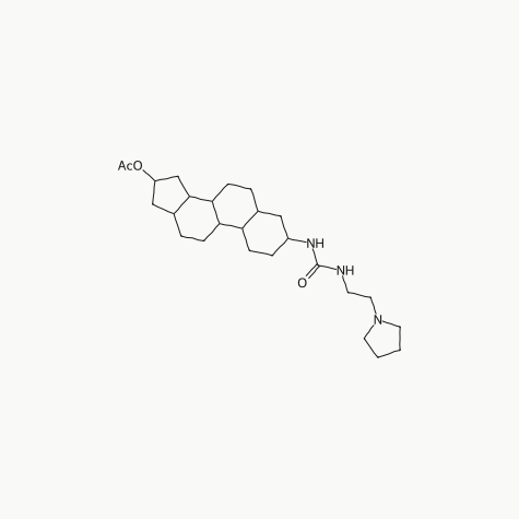 CC(=O)OC1CC2CCC3C4CCC(NC(=O)NCCN5CCCC5)CC4CCC3C2C1